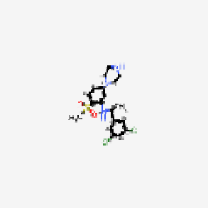 CC(Nc1cc(N2CCNCC2)ccc1S(C)(=O)=O)c1cc(Cl)cc(Cl)c1